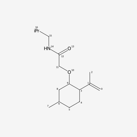 C=C(C)C1CCC(C)CC1OCC(=O)NCC(C)C